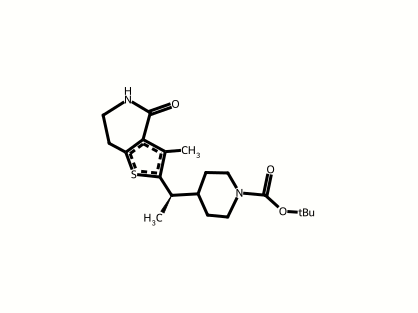 Cc1c([C@H](C)C2CCN(C(=O)OC(C)(C)C)CC2)sc2c1C(=O)NCC2